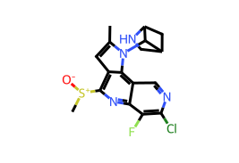 Cc1cc2c([S+](C)[O-])nc3c(F)c(Cl)ncc3c2n1C1C2CNC1C2